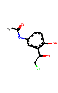 CC(=O)Nc1ccc(O)c(C(=O)CCl)c1